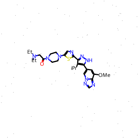 CCN(CC)CC(=O)N1CCN(c2cnc(-c3n[nH]c(-c4cc(OC)c5ncnn5c4)c3C(C)C)s2)CC1